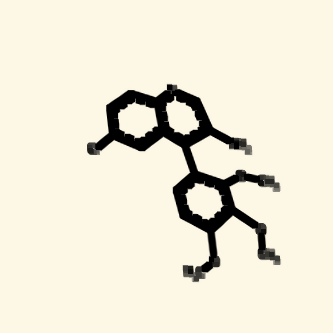 COc1ccc(-c2c(N)cnc3ccc(Cl)cc23)c(OC)c1OC